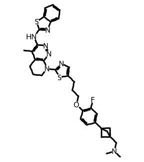 Cc1c(Nc2nc3ccccc3s2)nnc2c1CCCN2c1ncc(CCCOc2ccc(C34CC(CN(C)C)(C3)C4)cc2F)s1